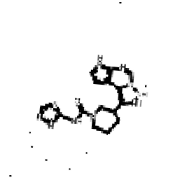 O=C(Nc1nncs1)N1CCCC(C2=C3c4cc[nH]c4N=CN3NN2)C1